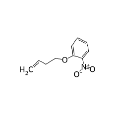 C=CCCOc1ccccc1[N+](=O)[O-]